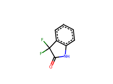 O=C1Nc2cc[c]cc2C1(F)F